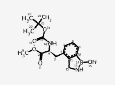 COC(=O)[C@H](Cc1cccc2c1CNB2O)NC(=O)OC(C)(C)C